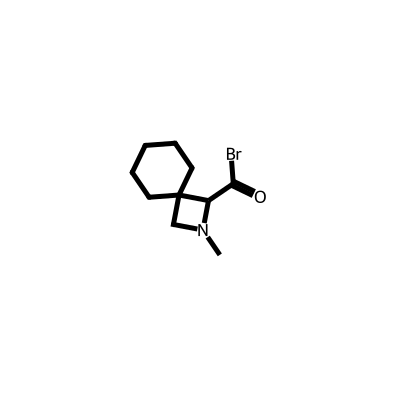 CN1CC2(CCCCC2)C1C(=O)Br